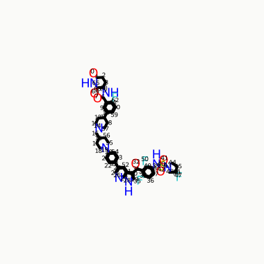 O=C1CC[C@@H](NC(=O)c2cc(C3CCN(CC4CCN(c5ccc(-c6cnc7[nH]cc(C(=O)c8c(F)ccc(NS(=O)(=O)N9CC[C@@H](F)C9)c8F)c7c6)cc5)CC4)CC3)ccc2F)C(=O)N1